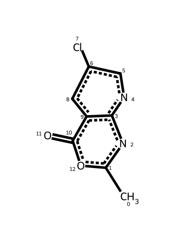 Cc1nc2ncc(Cl)cc2c(=O)o1